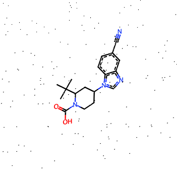 CC(C)(C)C1CC(n2cnc3cc(C#N)ccc32)CCN1C(=O)O